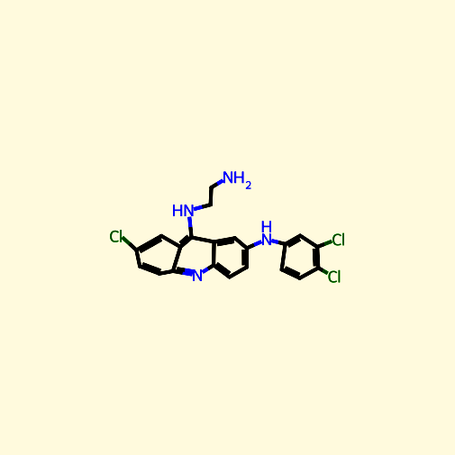 NCCNc1c2cc(Cl)ccc2nc2ccc(Nc3ccc(Cl)c(Cl)c3)cc12